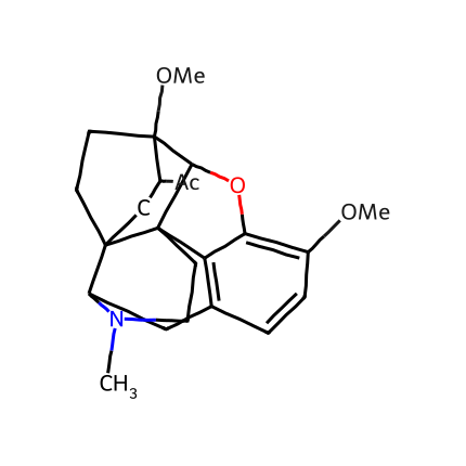 COc1ccc2c3c1OC1C4(OC)CCC5(CC4C(C)=O)C(C2)N(C)CCC315